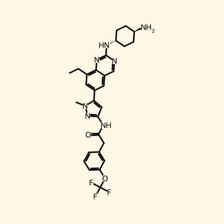 CCc1cc(-c2cc(NC(=O)Cc3cccc(OC(F)(F)F)c3)nn2C)cc2cnc(N[C@H]3CC[C@H](N)CC3)nc12